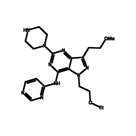 CCOCCn1nc(CCOC)c2nc(N3CCNCC3)nc(Nc3ccncn3)c21